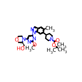 COc1nc(N2CCOC[C@@H]2CO)cc(-n2ncc3cc(C)c(C4CCN(C(=O)OC(C)(C)C)CC4)cc32)n1